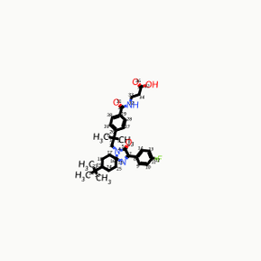 CC(C)(CN1C(=O)C(c2ccc(F)cc2)=NC12CCC(C(C)(C)C)CC2)c1ccc(C(=O)NCCC(=O)O)cc1